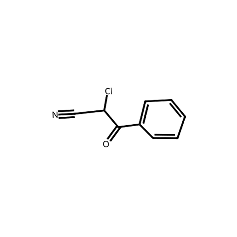 N#CC(Cl)C(=O)c1ccccc1